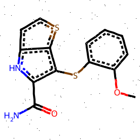 COc1ccccc1Sc1c(C(N)=O)[nH]c2ccsc12